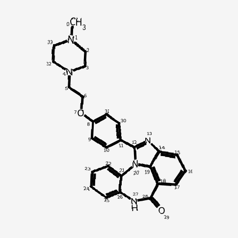 CN1CCN(CCOc2ccc(-c3nc4cccc5c4n3-c3ccccc3NC5=O)cc2)CC1